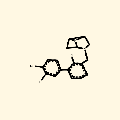 N#Cc1ccc(-c2cccc(CN3CC4C5CC3N54)c2Cl)cc1F